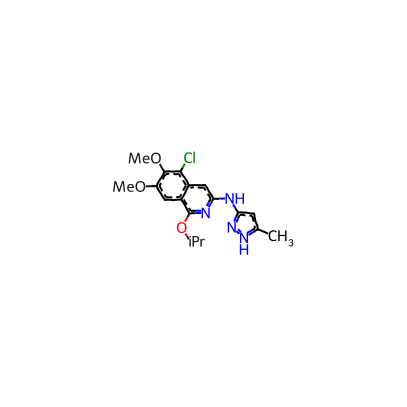 COc1cc2c(OC(C)C)nc(Nc3cc(C)[nH]n3)cc2c(Cl)c1OC